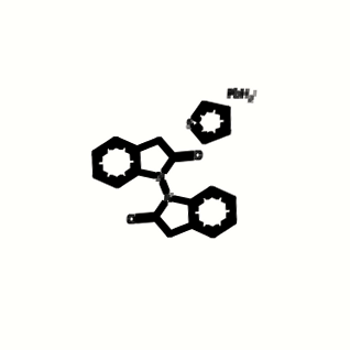 O=C1Cc2ccccc2N1N1C(=O)Cc2ccccc21.[PbH2].c1ccsc1